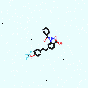 O=C(Nc1cc(CCc2ccc(OC(F)(F)F)cc2)ccc1C(=O)O)c1ccccc1